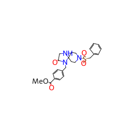 COC(=O)c1ccc(CN2C(=O)CNC23CCN(S(=O)(=O)Cc2ccccc2)CC3)cc1